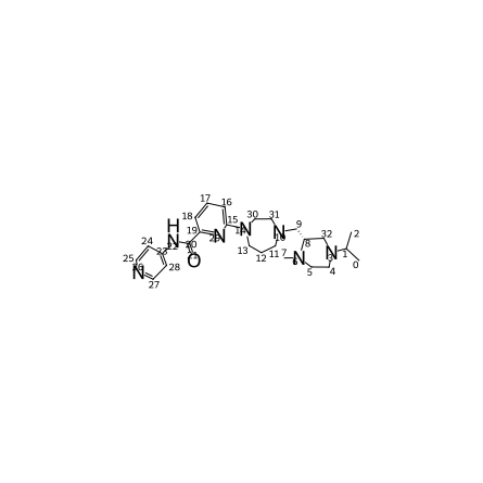 CC(C)N1CCN(C)[C@H](CN2CCCN(c3cccc(C(=O)Nc4ccncc4)n3)CC2)C1